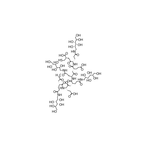 CCC(=O)C[C@@H](CCC(=O)NC[C@H](O)[C@@H](O)[C@H](O)[C@H](O)CO)C(=O)N[C@@H](CCC(=O)O)C(=O)C[C@@H](CCC(=O)NC[C@H](O)[C@@H](O)[C@H](O)[C@H](O)CO)C(=O)N[C@@H](CCC(=O)NC[C@H](O)[C@@H](O)[C@H](O)[C@H](O)CO)C(=O)C[C@@H](CCC(=O)O)C(=O)N[C@@H](CCC(=O)NC[C@H](O)[C@@H](O)[C@H](O)[C@H](O)CO)C(=O)C[C@@H](CS)C(=O)O